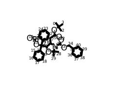 CC(C)(C)OC(=O)CC1C(C(O[PH2]=O)(c2ccccc2)c2ccccc2)OC(C)(C)N1C(=O)OCc1ccccc1